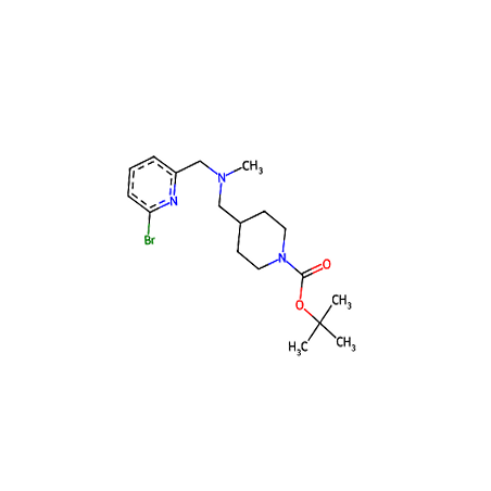 CN(Cc1cccc(Br)n1)CC1CCN(C(=O)OC(C)(C)C)CC1